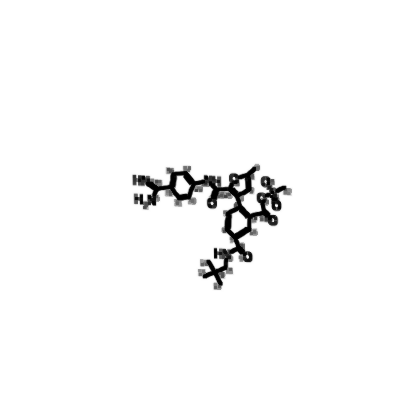 Cc1cc(-c2ccc(C(=O)NCC(C)(C)C)cc2C(=O)OS(C)(=O)=O)c(C(=O)Nc2ccc(C(=N)N)cc2)o1